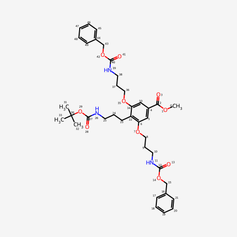 COC(=O)c1cc(OCCCNC(=O)OCc2ccccc2)c(CCCNC(=O)OC(C)(C)C)c(OCCCNC(=O)OCc2ccccc2)c1